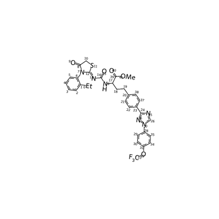 CCc1ccccc1N1C(=O)CS/C1=N\C(=O)NC(CCc1ccc(-c2ncn(-c3ccc(OC(F)(F)F)cc3)n2)cc1)C(=O)OC